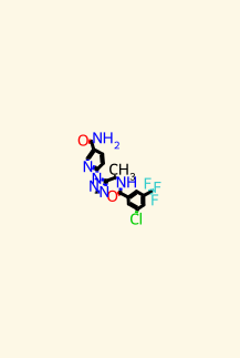 C[C@H](NC(=O)c1cc(Cl)cc(C(F)(F)F)c1)c1ncnn1-c1ccc(C(N)=O)cn1